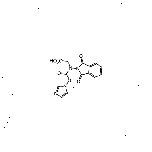 O=C(O)CN(C(=O)On1ccnc1)N1C(=O)c2ccccc2C1=O